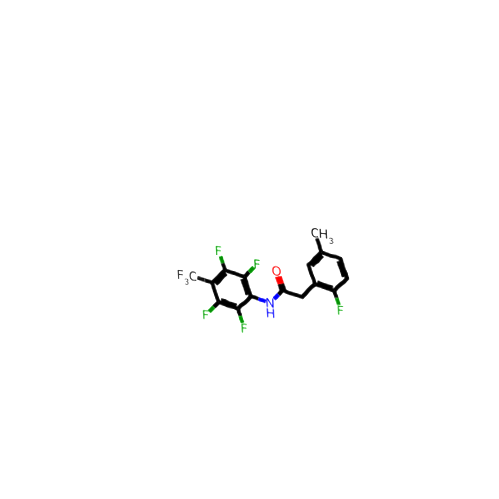 Cc1ccc(F)c(CC(=O)Nc2c(F)c(F)c(C(F)(F)F)c(F)c2F)c1